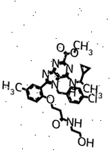 COC(=O)c1nc(NC(C)C2CC2)c2c(n1)nc(-c1cc(C)ccc1OCCC(=O)NCCO)n2Cc1ccc(Cl)cc1